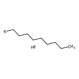 CCCCCCCC[CH2][K].F